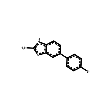 Nc1nc2cc(-c3ccc(Br)cc3)ccc2[nH]1